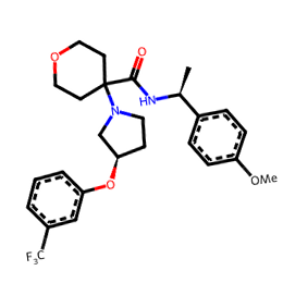 COc1ccc([C@H](C)NC(=O)C2(N3CC[C@@H](Oc4cccc(C(F)(F)F)c4)C3)CCOCC2)cc1